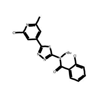 CCCCN(C(=O)c1ccccc1Cl)c1nnc(-c2cc(C)nc(Cl)c2)s1